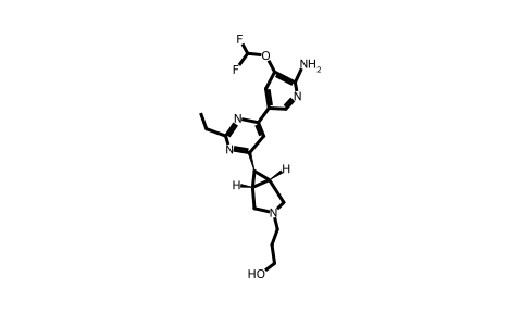 CCc1nc(-c2cnc(N)c(OC(F)F)c2)cc([C@H]2[C@@H]3CN(CCCO)C[C@@H]32)n1